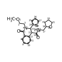 COCCN1C(=O)c2ccccc2C(C(=O)NCC2CCCO2)C1c1cccs1